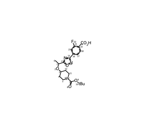 CC(OC1CCN(C(=O)OC(C)(C)C)CC1)c1nc(-c2ccc(C(=O)O)c(F)c2)no1